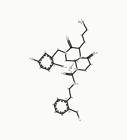 NCCCC1C(=O)N(Cc2cc(F)ccc2F)C[C@@H]2N(C(=O)OCCc3ccccc3CF)CCC(=O)N12